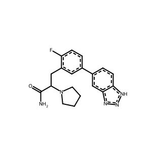 NC(=O)C(Cc1cc(-c2ccc3[nH]nnc3c2)ccc1F)N1CCCC1